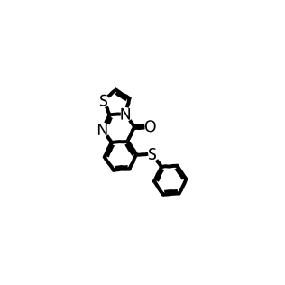 O=c1c2c(Sc3ccccc3)cccc2nc2sccn12